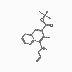 C=CCNc1c(C)c(C(=O)OC(C)(C)C)cc2ccccc12